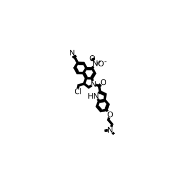 CN(C)CCOc1ccc2[nH]c(C(=O)N3CC(CCl)c4c3cc([N+](=O)[O-])c3cc(C#N)ccc43)cc2c1